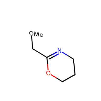 COCC1=NCCCO1